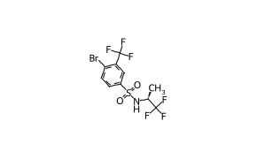 C[C@H](NS(=O)(=O)c1ccc(Br)c(C(F)(F)F)c1)C(F)(F)F